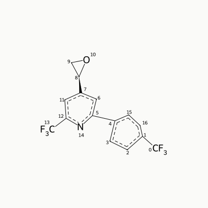 FC(F)(F)c1ccc(-c2cc([C@H]3CO3)cc(C(F)(F)F)n2)cc1